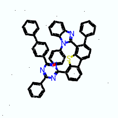 c1ccc(-c2ccc(-c3nc(-c4ccccc4)nc(-c4cccc5c4sc4c(-c6nc7ccccc7n6-c6ccccc6)c(-c6ccccc6)ccc45)n3)cc2)cc1